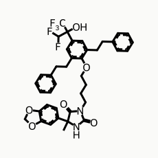 CC1(c2ccc3c(c2)OCO3)NC(=O)N(CCCCOc2c(CCc3ccccc3)cc(C(O)(C(F)F)C(F)(F)F)cc2CCc2ccccc2)C1=O